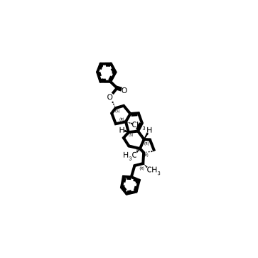 C[C@H](Cc1ccccc1)[C@H]1CC[C@H]2C3=CC=C4C[C@@H](OC(=O)c5ccccc5)CC[C@]4(C)[C@H]3CC[C@]12C